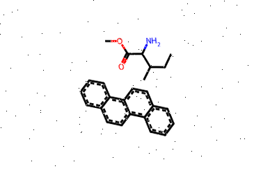 CCC(C)C(N)C(=O)OC.c1ccc2c(c1)ccc1c3ccccc3ccc21